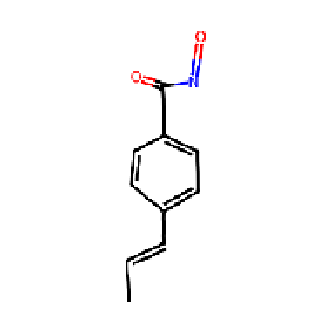 C/C=C/c1ccc(C(=O)N=O)cc1